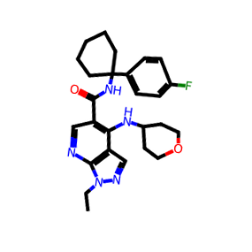 CCn1ncc2c(NC3CCOCC3)c(C(=O)NC3(c4ccc(F)cc4)CCCCC3)cnc21